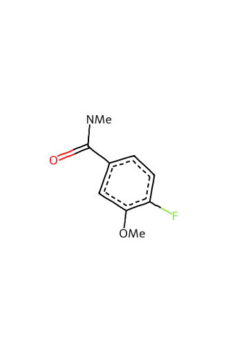 CNC(=O)c1ccc(F)c(OC)c1